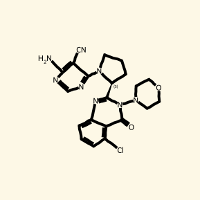 N#Cc1c(N)ncnc1N1CCC[C@H]1c1nc2cccc(Cl)c2c(=O)n1N1CCOCC1